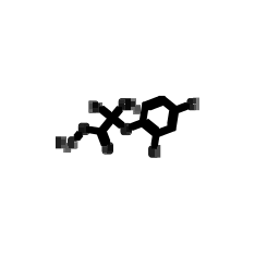 COC(=O)C(C)(Br)Oc1ccc(Cl)cc1Cl